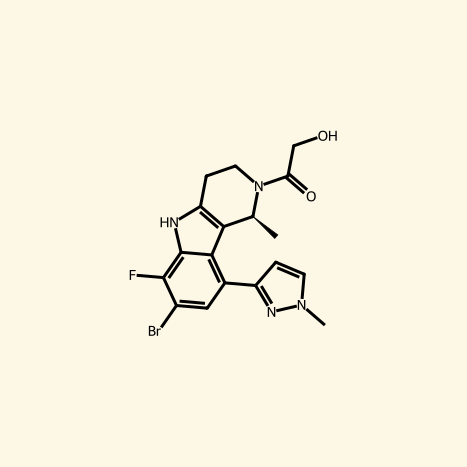 C[C@H]1c2c([nH]c3c(F)c(Br)cc(-c4ccn(C)n4)c23)CCN1C(=O)CO